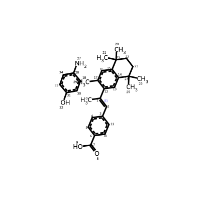 C/C(=C\c1ccc(C(=O)O)cc1)c1cc2c(cc1C)C(C)(C)CCC2(C)C.Nc1ccc(O)cc1